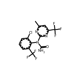 Cc1cc(C(F)(F)F)nc(N(C(N)=O)c2c(Cl)cccc2C(F)(F)F)n1